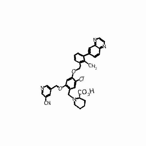 Cc1c(COc2cc(OCc3cncc(C#N)c3)c(CN3CCCC[C@@H]3C(=O)O)cc2Cl)cccc1-c1ccc2nccnc2c1